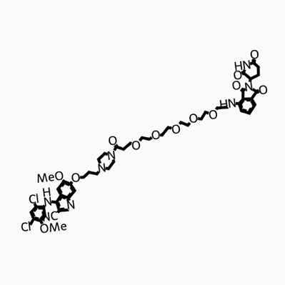 COc1cc(Nc2c(C#N)cnc3cc(OCCCN4CCN(C(=O)CCOCCOCCOCCOCCOCCNc5cccc6c5C(=O)N(C5CCC(=O)NC5=O)C6=O)CC4)c(OC)cc23)c(Cl)cc1Cl